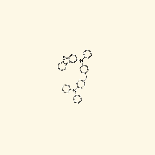 c1ccc(N(c2ccccc2)c2ccc(Cc3ccc(N(c4ccccc4)c4ccc5sc6ccccc6c5c4)cc3)cc2)cc1